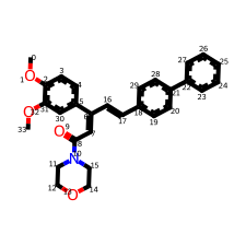 COc1ccc(C(=C\C(=O)N2CCOCC2)/C=C/c2ccc(-c3ccccc3)cc2)cc1OC